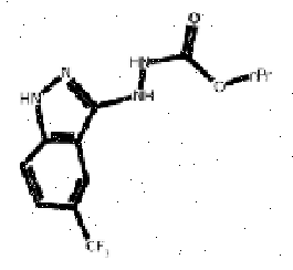 CCCOC(=O)NNc1n[nH]c2ccc(C(F)(F)F)cc12